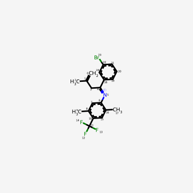 C=C(C)C/C(=N\c1cc(C)c(C(F)(F)F)cc1C)c1cccc(Br)c1